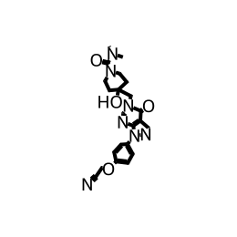 CN(C)C(=O)N1CCC(O)(Cn2cnc3c(cnn3-c3ccc(OCC#N)cc3)c2=O)CC1